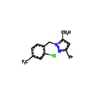 CC(C)c1cc(C(=O)O)n(Cc2ccc(C(F)(F)F)cc2Cl)n1